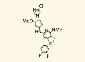 CNc1nc(Nc2ccc(-n3cnc(Cl)c3)c(OC)c2)nc2c1CC[C@@H]2c1ccc(F)c(F)c1